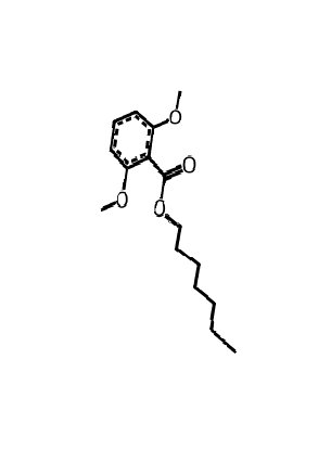 CCCCCCCOC(=O)c1c(OC)cccc1OC